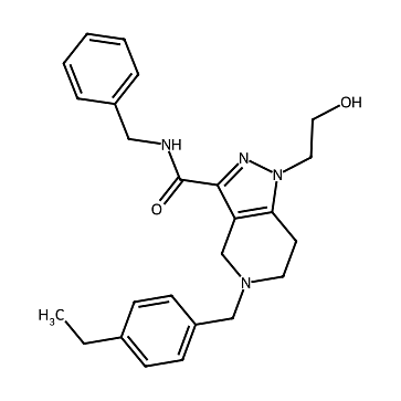 CCc1ccc(CN2CCc3c(c(C(=O)NCc4ccccc4)nn3CCO)C2)cc1